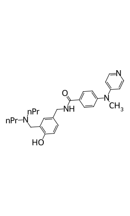 CCCN(CCC)Cc1cc(CNC(=O)c2ccc(N(C)c3ccncc3)cc2)ccc1O